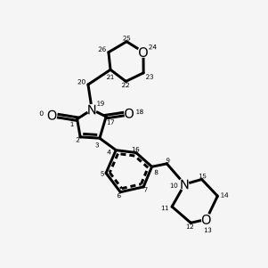 O=C1C=C(c2cccc(CN3CCOCC3)c2)C(=O)N1CC1CCOCC1